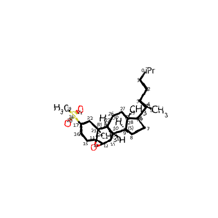 CC(C)CCC[C@@H](C)[C@H]1CC[C@H]2[C@@H]3CC4OC45CCC(S(C)(=O)=O)C[C@]5(C)[C@H]3CC[C@]12C